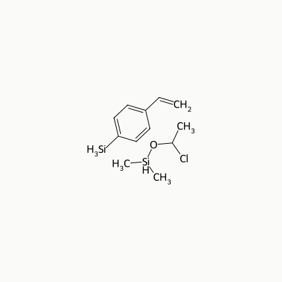 C=Cc1ccc([SiH3])cc1.CC(Cl)O[SiH](C)C